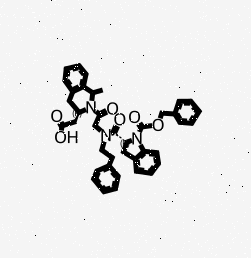 CC1c2ccccc2C[C@H](CC(=O)O)N1C(=O)CN(CCc1ccccc1)C(=O)[C@H]1Cc2ccccc2N1C(=O)OCc1ccccc1